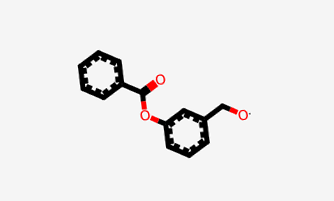 [O]Cc1cccc(OC(=O)c2ccccc2)c1